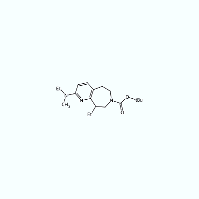 CCC1CN(C(=O)OC(C)(C)C)CCc2ccc(N(C)CC)nc21